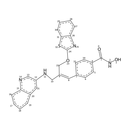 O=C(NO)c1ccc(/C=C(/CNc2cnc3ccccc3c2)COc2nc3ccccc3s2)cc1